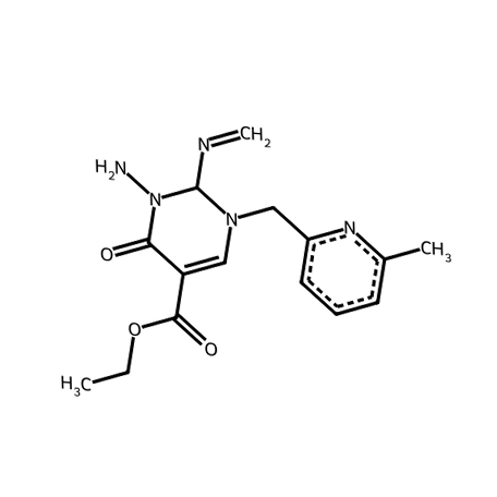 C=NC1N(Cc2cccc(C)n2)C=C(C(=O)OCC)C(=O)N1N